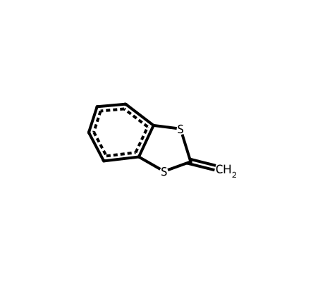 C=C1Sc2ccccc2S1